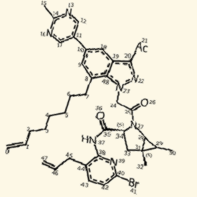 C=CCCCCCCc1cc(-c2cnc(C)nc2)cc2c(C(C)=O)nn(CC(=O)N3C4C(C)[C@]4(C)C[C@H]3C(=O)Nc3nc(Br)ccc3CC=C)c12